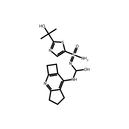 CC(C)(O)c1ncc(S(N)(=O)=NC(O)Nc2c3c(nc4c2CC4)CCC3)s1